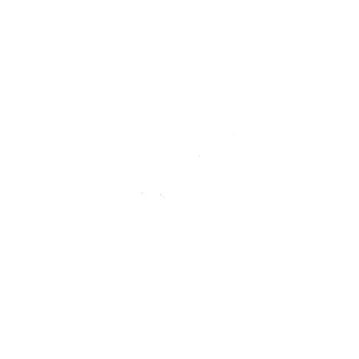 CC(c1ccc(S(C)(=O)=O)cc1)N(C)C(=O)c1nn(-c2ccccc2Cl)c(-c2ccc(Cl)cc2)c1CC(=O)O